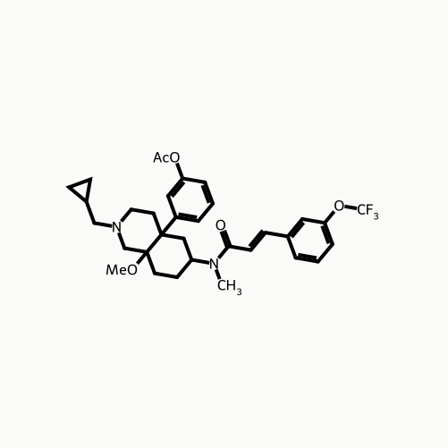 COC12CCC(N(C)C(=O)/C=C/c3cccc(OC(F)(F)F)c3)CC1(c1cccc(OC(C)=O)c1)CCN(CC1CC1)C2